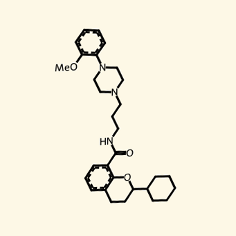 COc1ccccc1N1CCN(CCCNC(=O)c2cccc3c2OC(C2CCCCC2)CC3)CC1